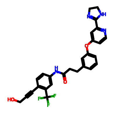 O=C(CCc1cccc(Oc2ccnc(C3=NCCN3)c2)c1)Nc1ccc(C#CCO)c(C(F)(F)F)c1